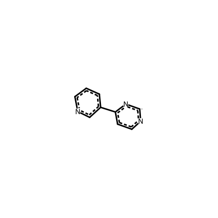 [c]1nccc(-c2cccnc2)n1